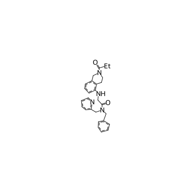 CCC(=O)N1CCc2c(cccc2NCC(=O)N(Cc2ccccc2)Cc2ccccn2)C1